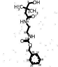 CC(C)(CO)CC(=O)NCCNC(=O)OCc1ccccc1